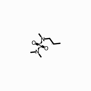 C[CH]CN(C)S(=O)(=O)N(C)C